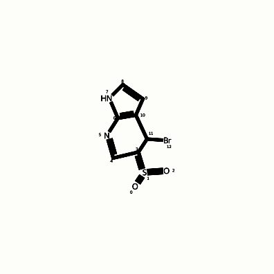 O=S(=O)=C1C=Nc2[nH]ccc2C1Br